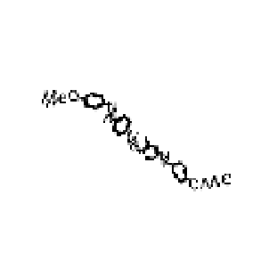 COc1ccc(N=Nc2ccc(N=Nc3ccc(N=Nc4ccc(OC)cc4)cc3C)cc2)cc1